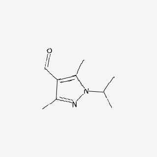 Cc1nn(C(C)C)c(C)c1C=O